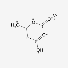 CC(CC(=O)O)OC=O.[V]